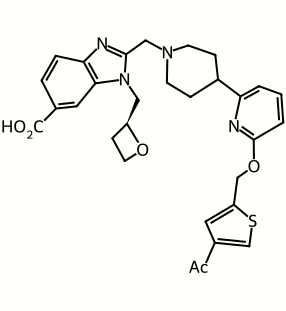 CC(=O)c1csc(COc2cccc(C3CCN(Cc4nc5ccc(C(=O)O)cc5n4C[C@@H]4CCO4)CC3)n2)c1